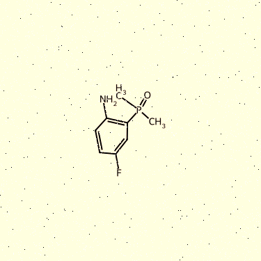 CP(C)(=O)c1cc(F)ccc1N